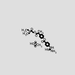 CCN(CC)C(=O)COC(=O)C(C)c1ccc(OC(=O)c2ccc(NC(=N)N)cc2)cc1.CS(=O)(=O)O